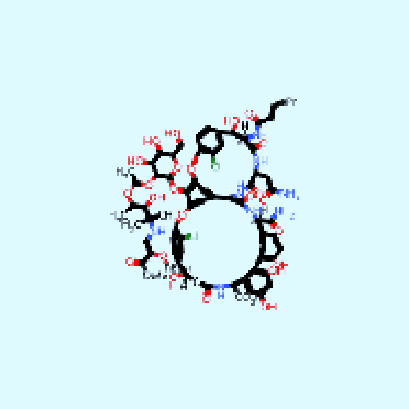 CCCCOC(CNC(C)(C)C(O)C(C)OC(C)OC1C(Oc2c3cc4cc2Oc2ccc(cc2Cl)[C@@H](O)CC(=O)NC(C(=O)O)c2cc(O)cc(O)c2-c2cc(ccc2O)[C@H](C(N)=O)NC(=O)C4NC(=O)C(CC(N)=O)NC(=O)[C@@H](NC(=O)CCC(C)C)C(O)c2ccc(c(Cl)c2)O3)OC(CO)C(O)C1O)C(=O)OC